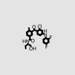 CCC(CO)NC(=O)c1ccc(C)c(C(=O)c2ccc(Nc3ccc(F)cc3F)cc2Cl)c1